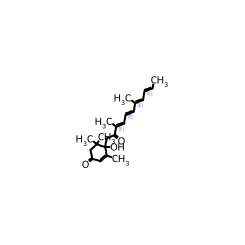 C/C=C/C=C(C)/C=C/C=C(\C)C(=O)CC1(O)C(C)=CC(=O)CC1(C)C